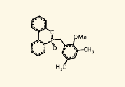 COc1c(C)cc(C)cc1CP1(=O)Oc2ccccc2-c2ccccc21